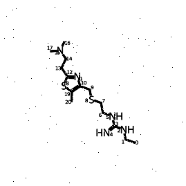 CCNC(=N)NCCSCc1nc(CCN(C)C)sc1C